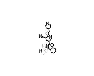 C[C@@H](NC(=O)c1cnc(OCc2ccncc2)c(C#N)c1)C1CCCCC1